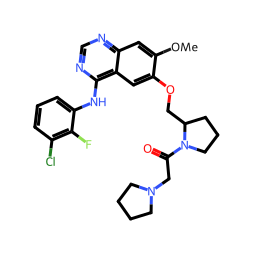 COc1cc2ncnc(Nc3cccc(Cl)c3F)c2cc1OCC1CCCN1C(=O)CN1CCCC1